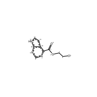 O=C(OCCCl)c1ncnc2[nH]ccc12